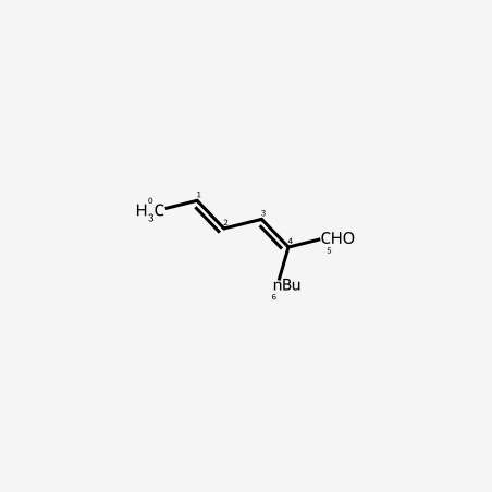 C/C=C/C=C(/C=O)CCCC